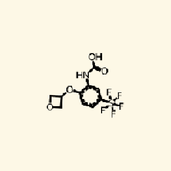 O=C(O)Nc1cc(S(F)(F)(F)(F)F)ccc1OC1COC1